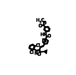 COC(=O)c1cccc(NC(=O)C23CCC(C=Cc4c(-c5c(Cl)cccc5Cl)noc4C4CC4)(CC2)CC3)c1